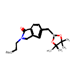 COCCN1Cc2cc(CB3OC(C)(C)C(C)(C)O3)ccc2C1=O